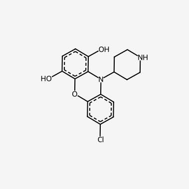 Oc1ccc(O)c2c1Oc1cc(Cl)ccc1N2C1CCNCC1